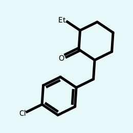 CCC1CCCC(Cc2ccc(Cl)cc2)C1=O